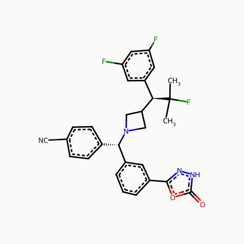 CC(C)(F)[C@H](c1cc(F)cc(F)c1)C1CN([C@@H](c2ccc(C#N)cc2)c2cccc(-c3n[nH]c(=O)o3)c2)C1